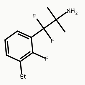 CCc1cccc(C(F)(F)C(C)(C)N)c1F